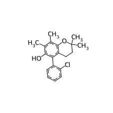 Cc1c(C)c2c(c(-c3ccccc3Cl)c1O)CCC(C)(C)O2